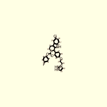 O=C(Oc1ccc(F)cc1)N1CCc2c([nH]c3ccc(Cl)cc23)C1c1ccc(OCCN2C=CNN2)cc1